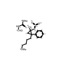 CNC(=S)NC=O.COCCCCC1(c2ccccc2)CC1(C)N=S(=O)=O